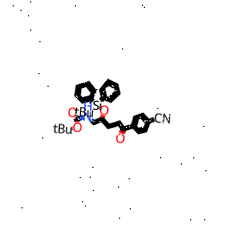 CC(C)(C)OC(=O)NCC(CCC(=O)c1ccc(C#N)cc1)O[Si](c1ccccc1)(c1ccccc1)C(C)(C)C